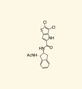 CC(=O)N[C@H]1c2ccccc2C[C@@H]1NC(=O)c1cc2sc(Cl)c(Cl)c2[nH]1